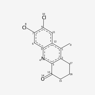 Cc1c2c(nc3cc(Cl)c(Cl)cc13)C(=O)CCC2